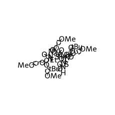 CCn1nc(C[N+]2(CC3=C(C(=O)OCc4ccc(OC)cc4)N4C(=O)[C@@H](NC(=O)/C(=N\O[C@@H](CC(=O)OC(C)(C)C)C(=O)OCc5ccc(OC)cc5)c5csc(NC(=O)OC(C)(C)C)n5)[C@H]4SC3)CCCC2)c(=O)c2cc(OCc3ccc(OC)cc3)c(OCc3ccc(OC)cc3)cc21